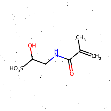 C=C(C)C(=O)NCC(O)S(=O)(=O)O